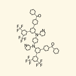 O=C(c1ccccc1)c1ccc(-c2cc(-c3cc(C(F)(F)F)cc(C(F)(F)F)c3)cc(N(c3ccc(N(c4cccnc4)c4cc(-c5ccc(C(=O)c6ccccc6)cc5)cc(-c5cc(C(F)(F)F)cc(C(F)(F)F)c5)c4)cc3)c3cccnc3)c2)cc1